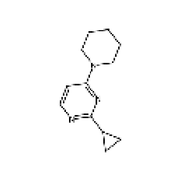 c1cc(N2CCCCC2)nc(C2CC2)n1